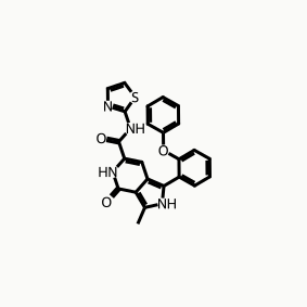 Cc1[nH]c(-c2ccccc2Oc2ccccc2)c2cc(C(=O)Nc3nccs3)[nH]c(=O)c12